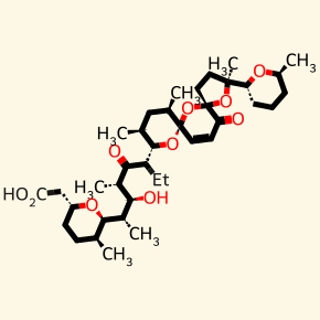 CCC(C(=O)[C@@H](C)[C@@H](O)[C@H](C)[C@@H]1O[C@@H](CC(=O)O)CC[C@@H]1C)[C@H]1O[C@]2(C=CC(=O)[C@]3(CC[C@@](C)([C@H]4CCC[C@H](C)O4)O3)O2)[C@H](C)C[C@@H]1C